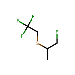 CC(CF)SCC(F)(F)F